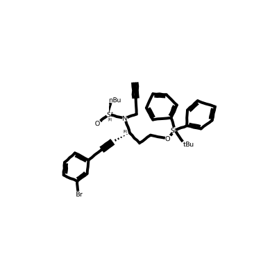 C#CCN([C@@H](C#Cc1cccc(Br)c1)CCO[Si](c1ccccc1)(c1ccccc1)C(C)(C)C)[S@@+]([O-])CCCC